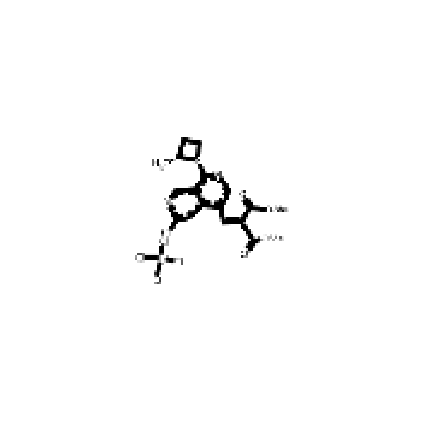 COC(=O)C(=Cc1cnc(N2CC[C@H]2C)c2cnc(Cl)cc12)C(=O)OC.[Cl][Ti]([Cl])([Cl])[Cl]